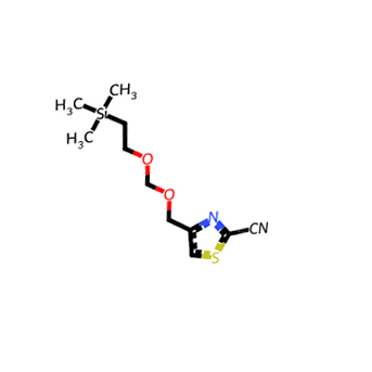 C[Si](C)(C)CCOCOCc1csc(C#N)n1